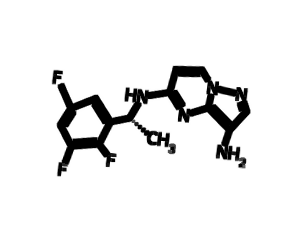 C[C@@H](Nc1ccn2ncc(N)c2n1)c1cc(F)cc(F)c1F